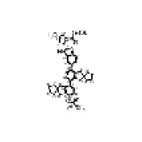 C[C@H]1C[C@@H](c2nc3ccc(-c4ccc(-c5ccc(OS(=O)(=O)C(F)(F)F)c6c5CC5(CCCC5)C6)c5c4CC4(CCCC4)C5)cc3[nH]2)N(C(=O)OC(C)(C)C)C1